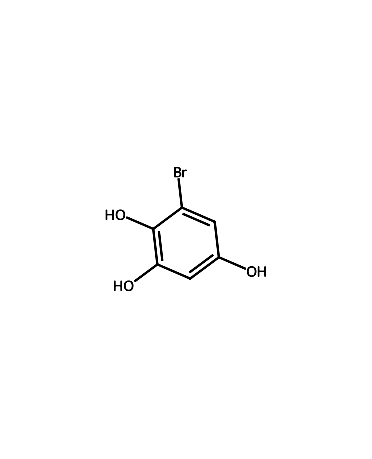 Oc1cc(O)c(O)c(Br)c1